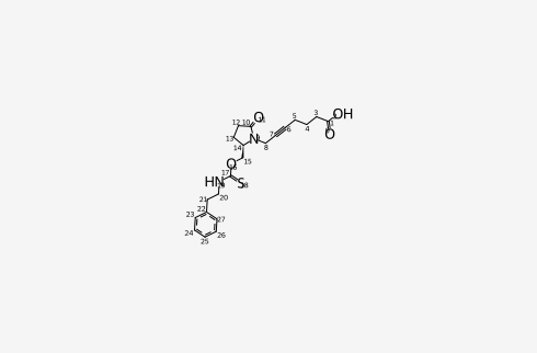 O=C(O)CCCC#CCN1C(=O)CC[C@@H]1COC(=S)NCCc1ccccc1